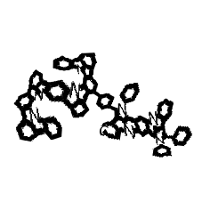 c1ccc(-c2c3c4ccccc4n4c5cc6c7c8c(c(-c9ccc(-c%10cc%11c%12cccc%13c%14ccccc%14n(c%13%12)c%11c%11c%10c%10cccc%12c%13cc%14c(cc%13n%11c%12%10)c%10cccc%11c%12ccc%13c%15cccc%16c%17ccccc%17n(c%16%15)c%13c%12n%14c%10%11)cc9)n7-c7ccccc7)c7ccccc7n8c6cc5c(c34)n2-c2ccccc2)cc1